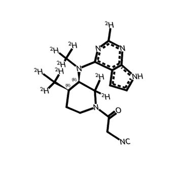 [2H]c1nc(N([C@@H]2[C@H](C([2H])([2H])[2H])CCN(C(=O)C[N+]#[C-])C2([2H])[2H])C([2H])([2H])[2H])c2cc[nH]c2n1